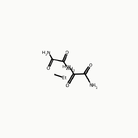 CCC.NC(=O)C(N)=O.NC(=O)C(N)=O